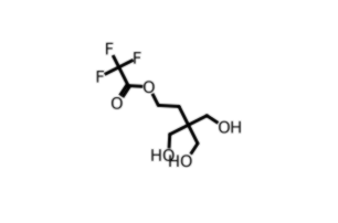 O=C(OCCC(CO)(CO)CO)C(F)(F)F